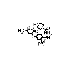 CC(C)CC(Oc1ccc(C#N)c(C(F)(F)F)c1)C(=O)O.NC(=O)N1CCNCC1